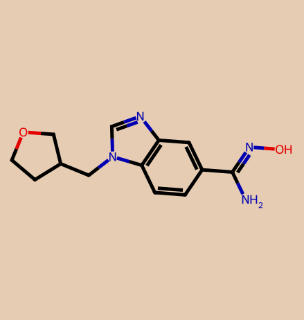 NC(=NO)c1ccc2c(c1)ncn2CC1CCOC1